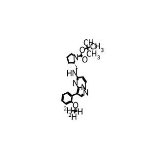 [2H]C([2H])([2H])Oc1ccccc1-c1cnn2ccc(NC[C@@H]3CCCN3C(=O)OC(C)(C)C)nc12